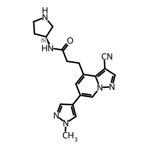 Cn1cc(-c2cc(CCC(=O)N[C@H]3CCNC3)c3c(C#N)cnn3c2)cn1